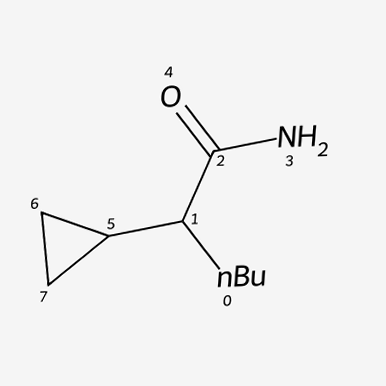 CCCCC(C(N)=O)C1CC1